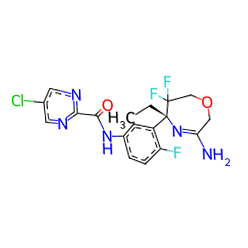 CC[C@]1(c2cc(NC(=O)c3ncc(Cl)cn3)ccc2F)N=C(N)COCC1(F)F